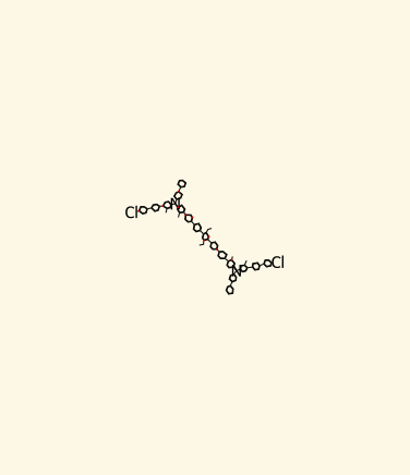 CCc1cc(-c2ccc(-c3ccc(-c4ccc(N(c5ccc(-c6ccccc6)cc5)c5ccc(-c6ccc(-c7ccc(Cl)cc7)cc6)c(C)c5)cc4C)cc3)cc2)c(CC)cc1-c1ccc(-c2ccc(-c3ccc(N(c4ccc(-c5ccccc5)cc4)c4ccc(-c5ccc(-c6ccc(Cl)cc6)cc5)c(C)c4)cc3C)cc2)cc1